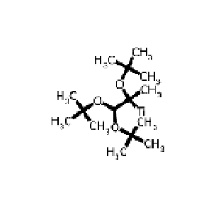 CC(C)(C)OC(OC(C)(C)C)[C](C)([Ti])OC(C)(C)C